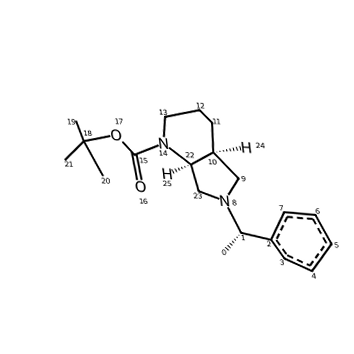 C[C@@H](c1ccccc1)N1C[C@@H]2CCCN(C(=O)OC(C)(C)C)[C@@H]2C1